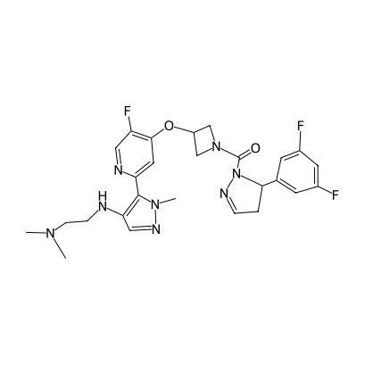 CN(C)CCNc1cnn(C)c1-c1cc(OC2CN(C(=O)N3N=CCC3c3cc(F)cc(F)c3)C2)c(F)cn1